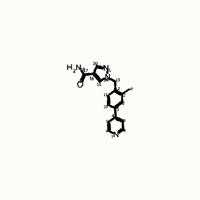 Cc1cc(-c2ccncc2)ccc1Cn1cc(C(N)=O)cn1